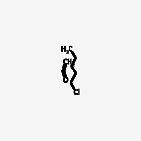 C=C=O.CCCCCCl